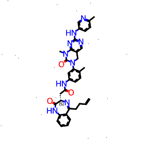 C=CCCC1=N[C@@H](CC(=O)Nc2ccc(C)c(N3Cc4cnc(Nc5ccc(C)nc5)nc4N(C)C3=O)c2)C(=O)Nc2ccccc21